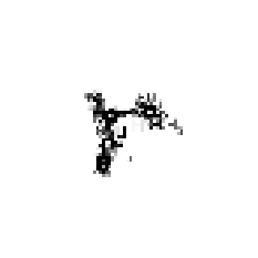 COc1ccc(S(C)(=O)=O)cc1NCC#Cc1cc(C(=O)N[C@H]2CCN(C3CC4CCC(C3)O4)C[C@@H]2C)c2ncn(CC(F)(F)F)c2c1